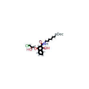 CCCCCCCCCCCCCCCCNC(=O)c1cc(OCC(O)CCl)c2ccccc2c1O